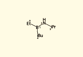 CCB(NC(C)C)C(C)CC